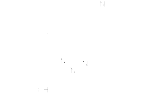 C#CCN1N=NC2=CC(C#N)=CC(C)C21